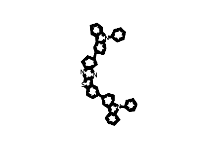 c1ccc(-n2c3ccccc3c3cc(-c4ccc5nc6sc7ccc(-c8ccc9c(c8)c8ccccc8n9-c8ccccc8)cc7c6nc5c4)ccc32)cc1